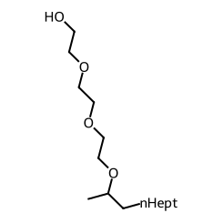 CCCCCCCCC(C)OCCOCCOCCO